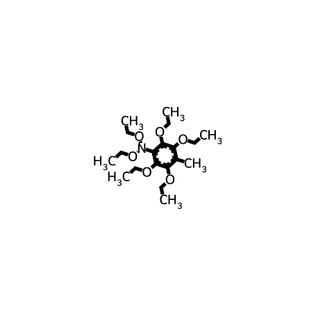 CCOc1c(C)c(OCC)c(OCC)c(N(OCC)OCC)c1OCC